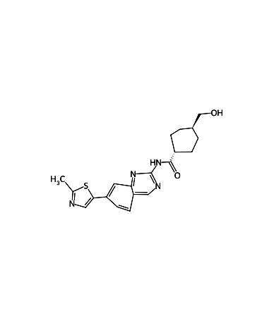 Cc1ncc(-c2ccc3cnc(NC(=O)[C@H]4CC[C@H](CO)CC4)nc3c2)s1